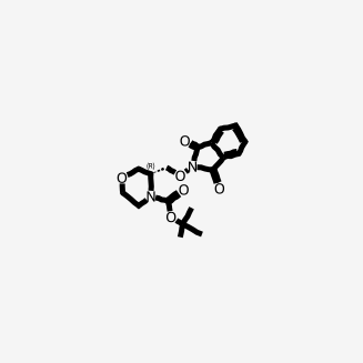 CC(C)(C)OC(=O)N1CCOC[C@@H]1CON1C(=O)c2ccccc2C1=O